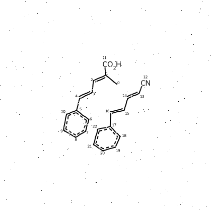 CC(=CC=Cc1ccccc1)C(=O)O.N#CC=CC=Cc1ccccc1